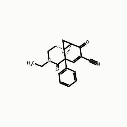 CCN1CC[C@]23C[C@@]2(C)C(=O)C(C#N)=C[C@]3(c2ccccc2)C1=O